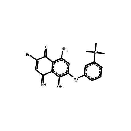 C[N+](C)(C)c1cccc([AsH]c2cc(N)c3c(c2O)C(=N)C=C(Br)C3=O)c1